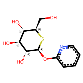 OC[C@H]1S[C@@H](Oc2ccccn2)[C@H](O)[C@@H](O)[C@@H]1O